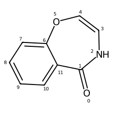 O=C1NC=COc2ccccc21